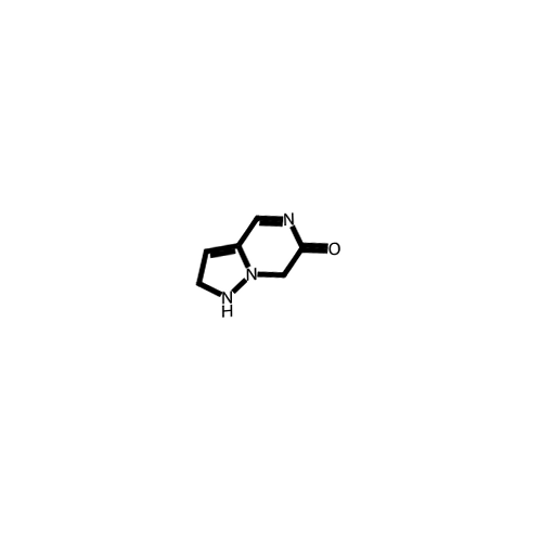 O=C1CN2NCC=C2C=N1